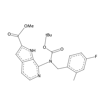 COC(=O)c1cc2ccnc(N(Cc3ccc(F)cc3C)C(=O)OC(C)(C)C)c2[nH]1